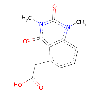 Cn1c(=O)c2c(CC(=O)O)cccc2n(C)c1=O